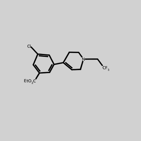 CCOC(=O)c1cc(Cl)cc(C2=CCN(CC(F)(F)F)CC2)c1